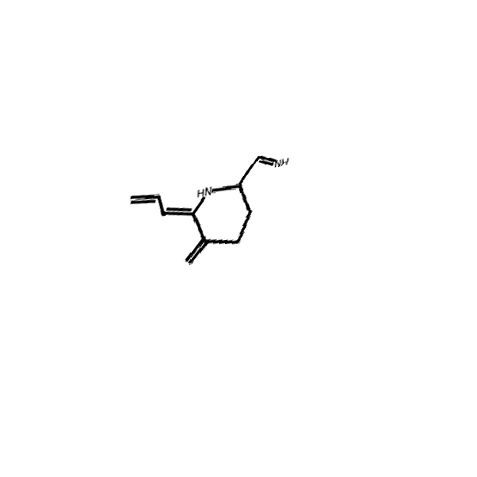 C=C/C=C1\NC(C=N)CCC1=C